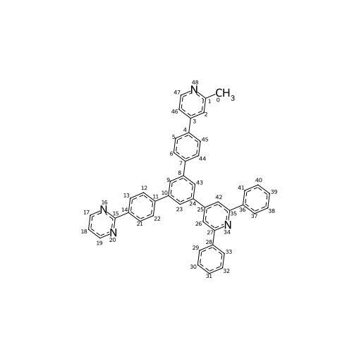 Cc1cc(-c2ccc(-c3cc(-c4ccc(-c5ncccn5)cc4)cc(-c4cc(-c5ccccc5)nc(-c5ccccc5)c4)c3)cc2)ccn1